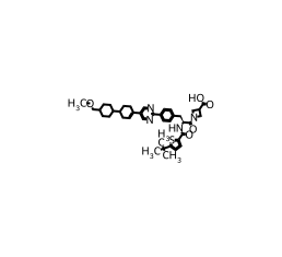 COCC1CCC(C2CC=C(c3cnc(-c4ccc(C[C@H](NC(=O)c5ccc(C(C)(C)C)s5)C(=O)N5CC(C(=O)O)C5)cc4)nc3)CC2)CC1